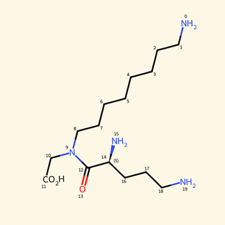 NCCCCCCCCN(CC(=O)O)C(=O)[C@@H](N)CCCN